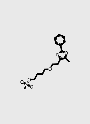 Cc1oc(-c2ccccc2)nc1CCOCC=CCOS(C)(=O)=O